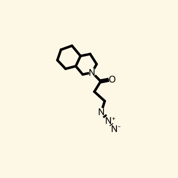 [N-]=[N+]=NCCC(=O)N1CCC2CCCCC2C1